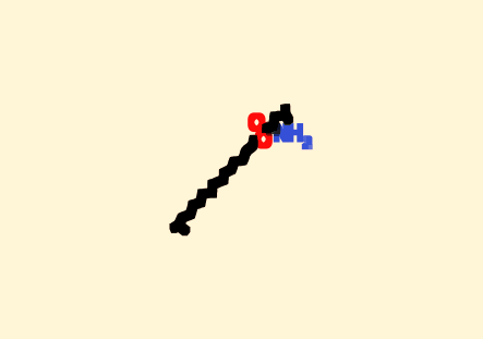 CC(C)CCCCCCCCCCCCCCCOC(=O)[C@@H](N)CC(C)C